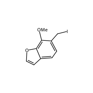 COc1c(CI)ccc2ccoc12